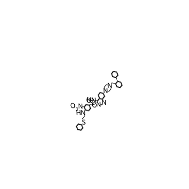 O=[N+]([O-])c1cc(S(=O)(=O)Nc2ncnc3cc(N4CCN(Cc5ccccc5-c5ccccc5)CC4)ccc23)ccc1NCCSc1ccccc1